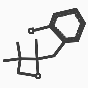 CC1(C)COC1(C)Cc1ccccc1Cl